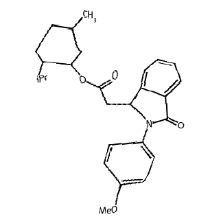 COc1ccc(N2C(=O)c3ccccc3C2CC(=O)OC2CC(C)CCC2C(C)C)cc1